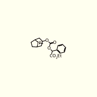 CCOC(=O)C(OC(=O)OC1CC2CCC(C1)[N+]2(C)C)c1ccccc1